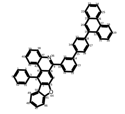 c1ccc(-c2c3c(cc4c(-c5cccc(-c6ccc(-c7cc8ccccc8c8ccccc78)cc6)c5)nc5ccccc5c24)oc2ccccc23)cc1